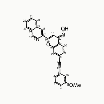 COc1cccc(C#Cc2ccc3/c(=N/O)cc(-c4cc5ccccc5cn4)oc3c2)c1